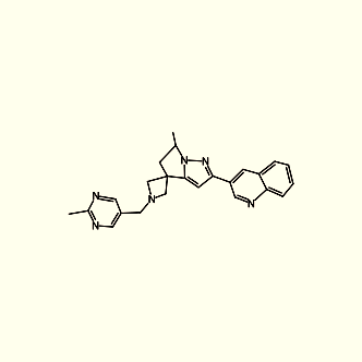 Cc1ncc(CN2CC3(CC(C)n4nc(-c5cnc6ccccc6c5)cc43)C2)cn1